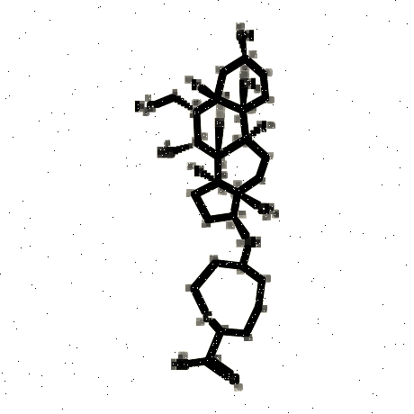 CC[C@H]1[C@@H](O)[C@@H]2[C@H](CC[C@]3(C)[C@@H](BC4CCCC(C(=O)O)CCC4)CC[C@@H]23)[C@@]2(C)CC[C@@H](O)C[C@@H]12